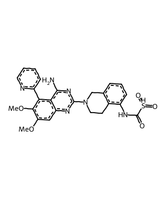 COc1cc2nc(N3CCc4c(cccc4NC(=O)[SH](=O)=O)C3)nc(N)c2c(-c2ccccn2)c1OC